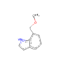 COCc1cccc2cc[nH]c12